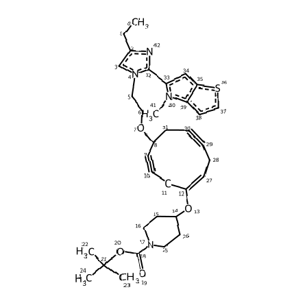 CCc1cn(CCOC2C#CC/C(OC3CCN(C(=O)OC(C)(C)C)CC3)=C\CC#CC2)c(-c2cc3sccc3n2C)n1